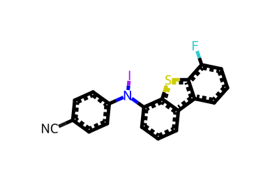 N#Cc1ccc(N(I)c2cccc3c2sc2c(F)cccc23)cc1